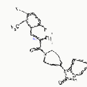 C/C(=C\c1c(C)ccc(F)c1C)C(=O)N1CCC(n2c(=O)[nH]c3ccccc32)CC1